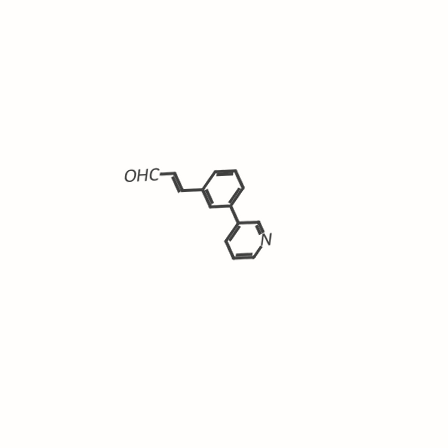 O=CC=Cc1cccc(-c2cccnc2)c1